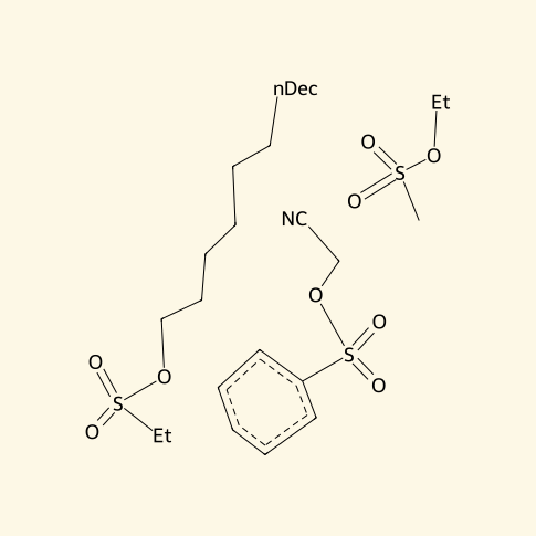 CCCCCCCCCCCCCCCCOS(=O)(=O)CC.CCOS(C)(=O)=O.N#CCOS(=O)(=O)c1ccccc1